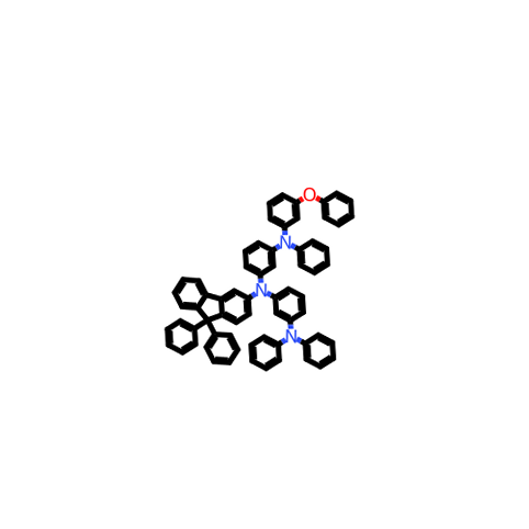 c1ccc(Oc2cccc(N(c3ccccc3)c3cccc(N(c4cccc(N(c5ccccc5)c5ccccc5)c4)c4ccc5c(c4)-c4ccccc4C5(c4ccccc4)c4ccccc4)c3)c2)cc1